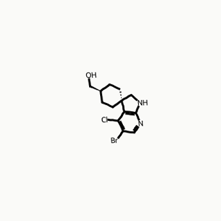 OC[C@H]1CC[C@]2(CC1)CNc1ncc(Br)c(Cl)c12